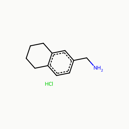 Cl.NCc1ccc2c(c1)CCCC2